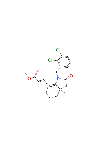 COC(=O)C=CC1=C2N(Cc3cccc(Cl)c3Cl)C(=O)CC2(C)CCC1